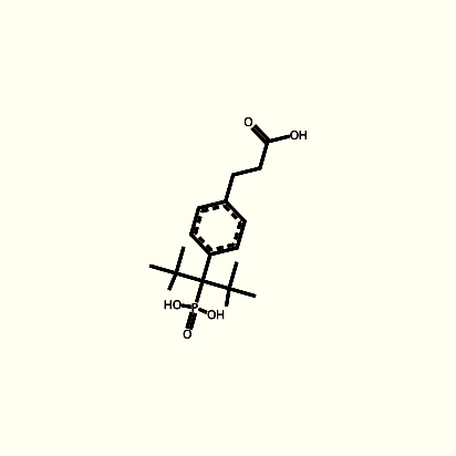 CC(C)(C)C(c1ccc(CCC(=O)O)cc1)(C(C)(C)C)P(=O)(O)O